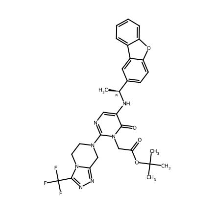 C[C@H](Nc1cnc(N2CCn3c(nnc3C(F)(F)F)C2)n(CC(=O)OC(C)(C)C)c1=O)c1ccc2oc3ccccc3c2c1